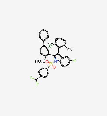 N#Cc1cccc(C#N)c1-c1c(-c2c(C(=O)O)ccc(-c3ccccc3)c2Cl)n(S(=O)(=O)c2ccc(C(F)F)cc2)c2ccc(F)cc12